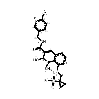 CC(C)S(=O)(=O)C1(COc2nccc3c2N(C)C(O)C(C(=O)NCc2ccc(C#N)nc2)=C3)CC1